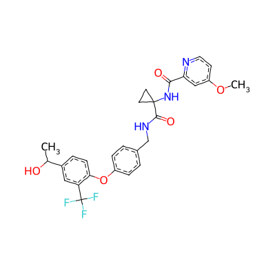 COc1ccnc(C(=O)NC2(C(=O)NCc3ccc(Oc4ccc(C(C)O)cc4C(F)(F)F)cc3)CC2)c1